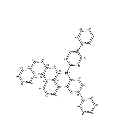 c1ccc(-c2ccc(N(c3ccc(-c4ccccc4)cc3)c3cc4ccc5ccccc5c4c4ccccc34)cc2)cc1